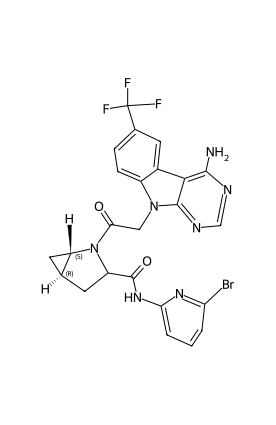 Nc1ncnc2c1c1cc(C(F)(F)F)ccc1n2CC(=O)N1C(C(=O)Nc2cccc(Br)n2)C[C@H]2C[C@@H]21